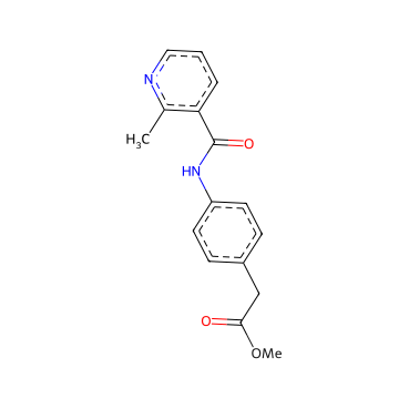 COC(=O)Cc1ccc(NC(=O)c2cccnc2C)cc1